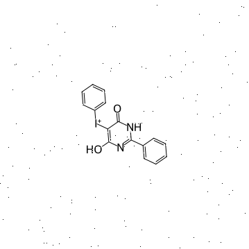 O=c1[nH]c(-c2ccccc2)nc(O)c1[I+]c1ccccc1